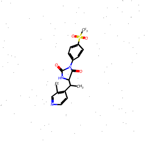 CCc1cnccc1C(C)C1NC(=O)N(c2ccc(S(=O)(=O)C(F)(F)F)cc2)C1=O